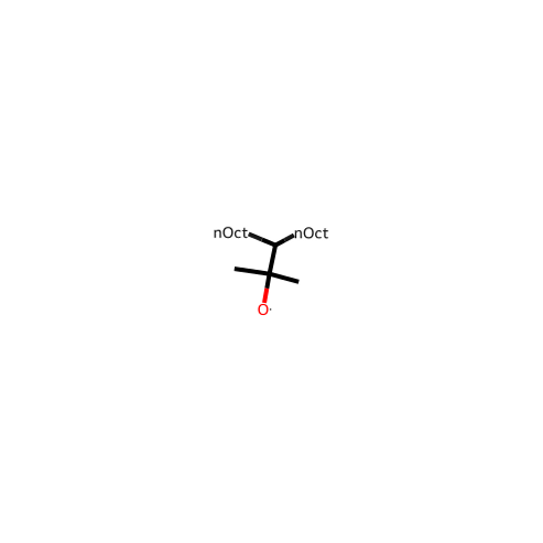 CCCCCCCCC(CCCCCCCC)C(C)(C)[O]